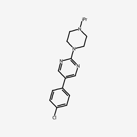 CC(C)N1CCN(c2ncc(-c3ccc(Cl)cc3)cn2)CC1